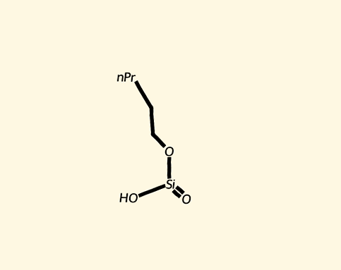 CCCCCO[Si](=O)O